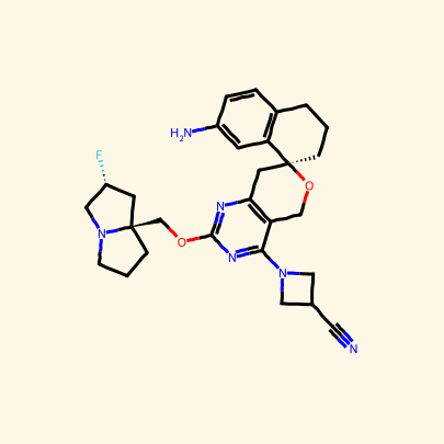 N#CC1CN(c2nc(OC[C@@]34CCCN3C[C@H](F)C4)nc3c2CO[C@@]2(CCCc4ccc(N)cc42)C3)C1